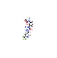 O=C(NCc1ccc(C(F)(F)F)nc1)Nc1cccc2[nH]c(=O)oc12